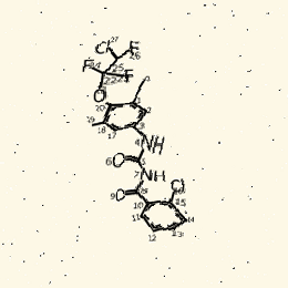 Cc1cc(NC(=O)NC(=O)c2ccccc2Cl)cc(C)c1OC(F)(F)C(F)Cl